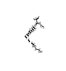 C=C.C=C.C=C.C=C.C=C.C=C.C=C.C=C.C=C.C=C(C)C(=O)OOC.OCCO